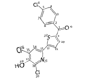 O=C(c1ccc(Cl)cc1)c1ccc(-c2cc(Cl)c(O)c(Cl)n2)s1